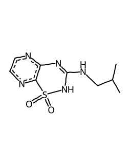 CC(C)CNC1=Nc2nccnc2S(=O)(=O)N1